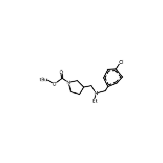 CCN(Cc1ccc(Cl)cc1)CC1CCN(C(=O)OC(C)(C)C)C1